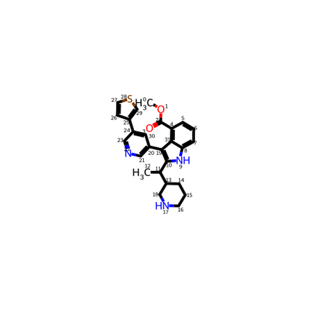 COC(=O)c1cccc2[nH]c(C(C)C3CCCNC3)c(-c3cncc(-c4ccsc4)c3)c12